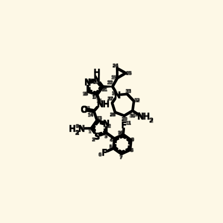 Nc1sc(-c2c(F)cccc2F)nc1C(=O)Nc1cn[nH]c1[C@@H](C1CC1)N1CCCC(N)CC1